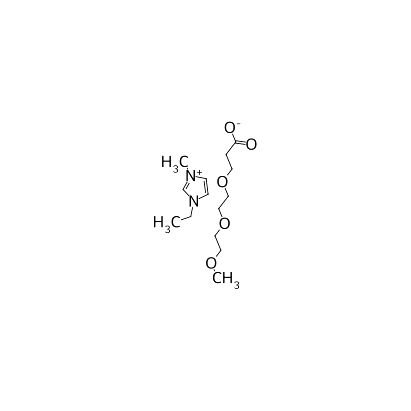 CCn1cc[n+](C)c1.COCCOCCOCCC(=O)[O-]